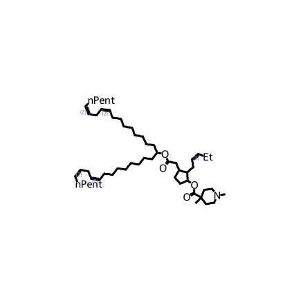 CC/C=C\CC1C(CC(=O)OC(CCCCCCCC/C=C\C/C=C\CCCCC)CCCCCCCC/C=C\C/C=C\CCCCC)CCC1OC(=O)C1(C)CCN(C)CC1